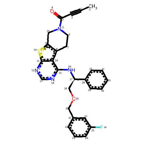 CC#CC(=O)N1CCc2c(sc3ncnc(N[C@H](COCc4cccc(F)c4)c4ccccc4)c23)C1